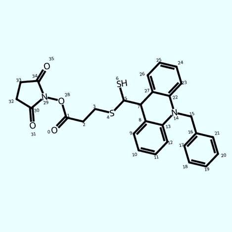 O=C(CCSC(S)C1c2ccccc2N(Cc2ccccc2)c2ccccc21)ON1C(=O)CCC1=O